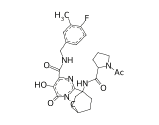 CC(=O)N1CCCC1C(=O)NC12CCC(CC1)Cn1c2nc(C(=O)NCc2ccc(F)c(C)c2)c(O)c1=O